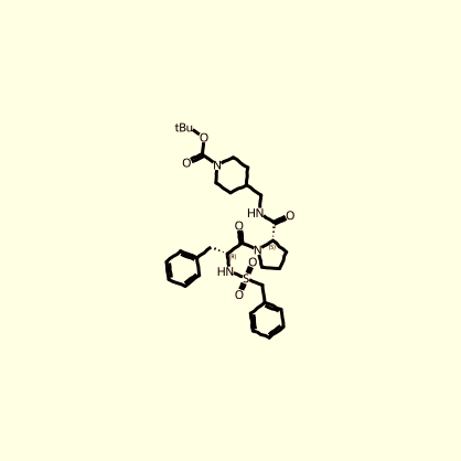 CC(C)(C)OC(=O)N1CCC(CNC(=O)[C@@H]2CCCN2C(=O)[C@@H](Cc2ccccc2)NS(=O)(=O)Cc2ccccc2)CC1